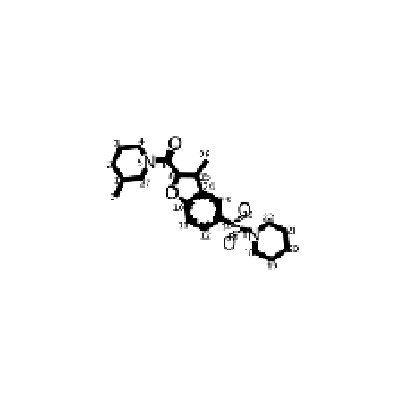 CC1CCCN(C(=O)C2Oc3ccc(S(=O)(=O)N4CCCCC4)cc3C2C)C1